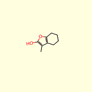 Cc1c(O)oc2c1CCCC2